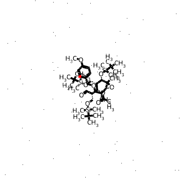 COc1ccc(COC[C@H](C)[C@H]2OC2(C)[C@@H](O[Si](C)(C)C(C)(C)C)[C@@H](CO[Si](C)(C)C(C)(C)C)[C@H](OC(C)=O)[C@@H](C=O)CO[Si](C)(C)C(C)(C)C)cc1